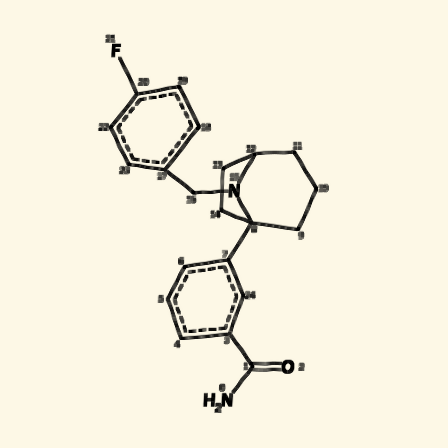 NC(=O)c1cccc(C23CCCC(CC2)N3Cc2ccc(F)cc2)c1